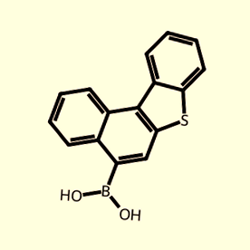 OB(O)c1cc2sc3ccccc3c2c2ccccc12